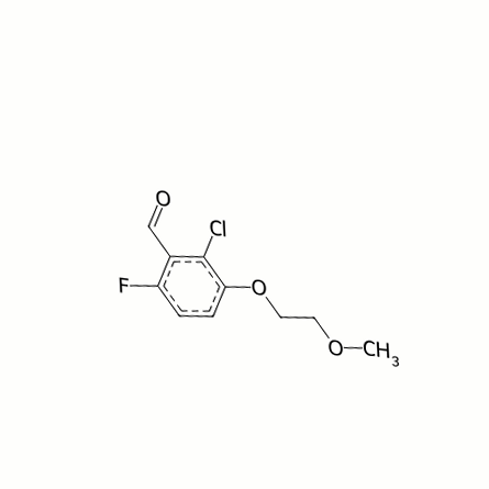 COCCOc1ccc(F)c(C=O)c1Cl